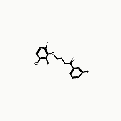 O=C(CCCOc1c(F)ccc(Cl)c1F)c1cccc(F)c1